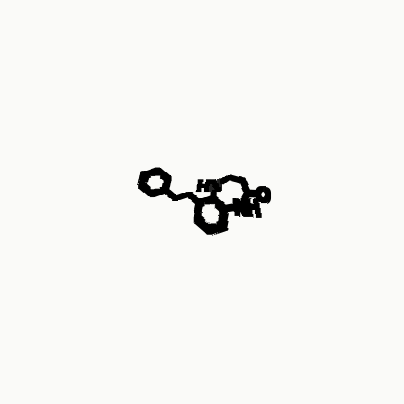 O=C1CCNc2c(CCc3ccccc3)cccc2N1